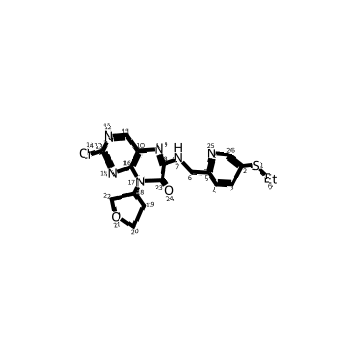 CCSc1ccc(CNc2nc3cnc(Cl)nc3n(C3CCOC3)c2=O)nc1